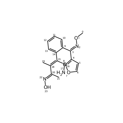 CO/N=C(/c1ccon1)c1ccccc1/C(ON)=C(C)/C(C)=N/O